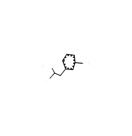 CCC(Cc1cccc(C)c1)C(=O)O